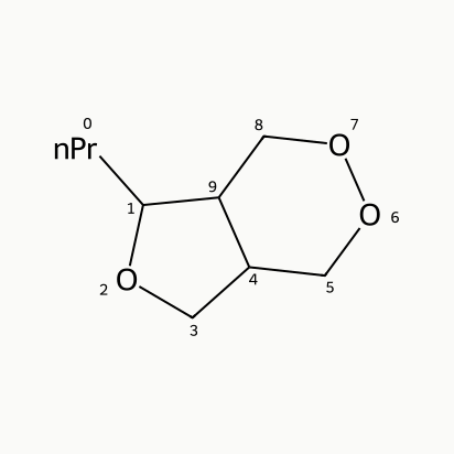 CCCC1OCC2COOCC21